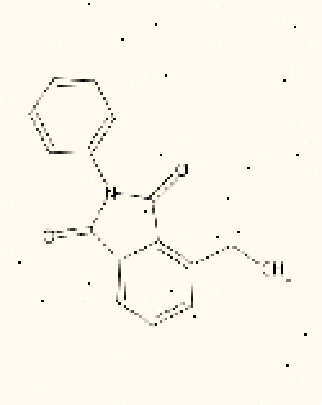 CCc1cccc2c1C(=O)N(c1ccccc1)C2=O